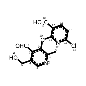 Cc1ncc(CO)c(C=O)c1Oc1nc(Cl)ccc1C(=O)O